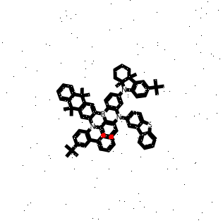 Cc1cc2c3c(c1)N(c1ccc(C(C)(C)C)cc1-c1ccccc1)c1cc4c(cc1B3c1ccc(N3c5ccc(C(C)(C)C)cc5C5(C)CCCCC35C)cc1N2c1ccc2sc3ccccc3c2c1)C(C)(C)c1ccccc1C4(C)C